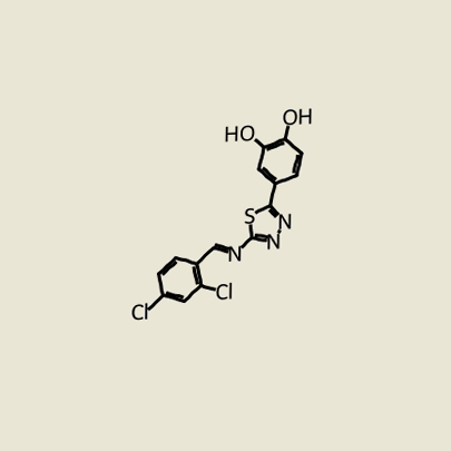 Oc1ccc(-c2nnc(N=Cc3ccc(Cl)cc3Cl)s2)cc1O